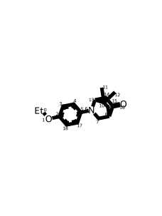 CCOc1ccc(N2CC3CC(C)(C)C2CC3=O)cc1